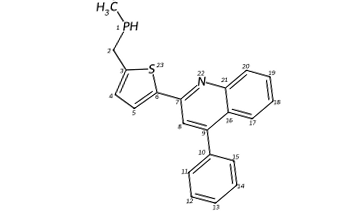 CPCc1ccc(-c2cc(-c3ccccc3)c3ccccc3n2)s1